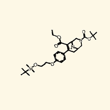 CCOC(=O)C1=C(c2ccc(OCCO[Si](C)(C)C(C)(C)C)cc2)CC2CN(C(=O)OC(C)(C)C)CC1N2C